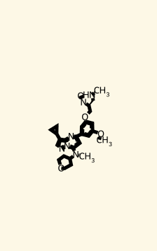 CNC[C@@H](COc1cc(OC)cc(-c2cc(N(C)C3CCOCC3)n3ncc(C4CC4)c3n2)c1)N=O